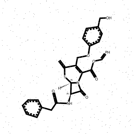 C=C1S[C@@H]2[C@H](NC(=O)Cc3ccccc3)C(=O)N2C(C(=O)OC=P)=C1COc1ccc(CO)cc1